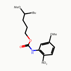 COc1ccc([N+](=O)[O-])c(NC(=O)OCCCC(OC)C(C)(C)C)c1